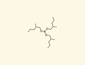 CCCC(C)COB(OCC(C)CCC)OCC(C)CCC